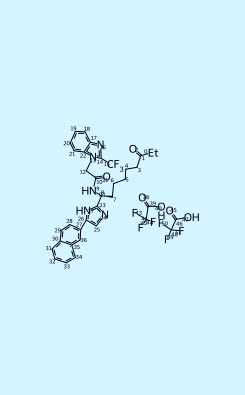 CCC(=O)CCCCC[C@H](NC(=O)Cn1c(C(F)(F)F)nc2ccccc21)c1ncc(-c2ccc3ccccc3c2)[nH]1.O=C(O)C(F)(F)F.O=C(O)C(F)(F)F